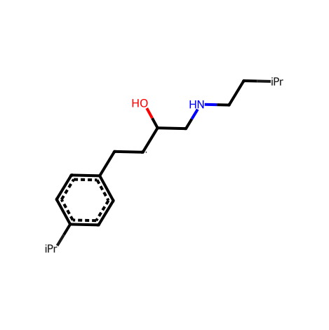 CC(C)CCNCC(O)[CH]Cc1ccc(C(C)C)cc1